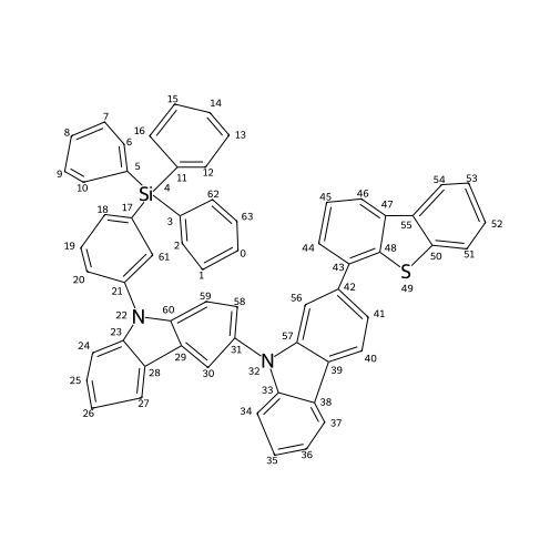 c1ccc([Si](c2ccccc2)(c2ccccc2)c2cccc(-n3c4ccccc4c4cc(-n5c6ccccc6c6ccc(-c7cccc8c7sc7ccccc78)cc65)ccc43)c2)cc1